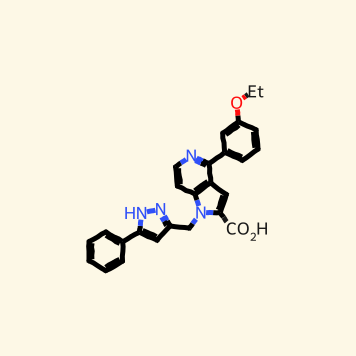 CCOc1cccc(-c2nccc3c2cc(C(=O)O)n3Cc2cc(-c3ccccc3)[nH]n2)c1